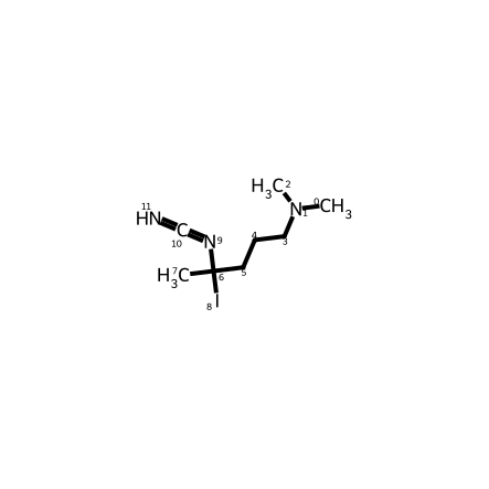 CN(C)CCCC(C)(I)N=C=N